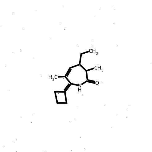 CCC1C=C(C)C(=C2CCC2)NC(=O)C1C